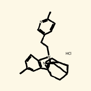 Cc1ccc2c(c1)c1c(n2CCc2ccc(C)nc2)C2CC3CC1CN(C3)C2.Cl